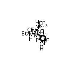 CC[C@@H](Nc1nc(N[C@@H](C)C(F)(F)F)nc(C2=C(F)C(O)C(F)(F)CC2)n1)C(F)(F)F